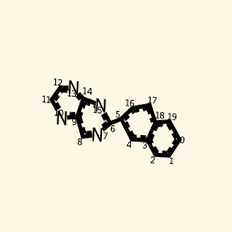 c1ccc2cc(-c3ncc4nccnc4n3)ccc2c1